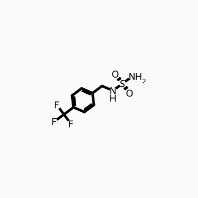 NS(=O)(=O)NCc1ccc(C(F)(F)F)cc1